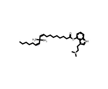 BC(B)(/C=C\CCCCC)/C=C\CCCCCCCC(=O)Oc1cccc2[nH]cc(CCN(C)C)c12